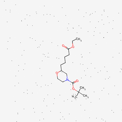 CCOC(=O)CCCCC1CN(C(=O)OC(C)(C)C)CCO1